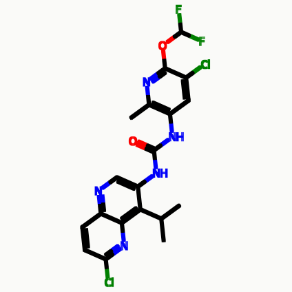 Cc1nc(OC(F)F)c(Cl)cc1NC(=O)Nc1cnc2ccc(Cl)nc2c1C(C)C